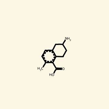 Cc1ccc2c(c1C(=O)O)CCC(N)C2